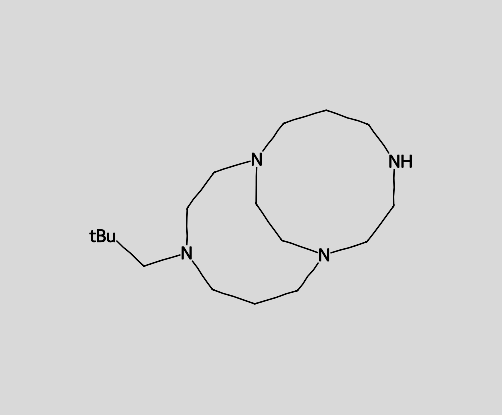 CC(C)(C)CN1CCCN2CCNCCCN(CC2)CC1